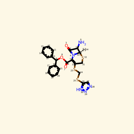 NC1C(=O)N2C(C(=O)OC(c3ccccc3)c3ccccc3)=C(SCSc3cnn[nH]3)CS[C@H]12